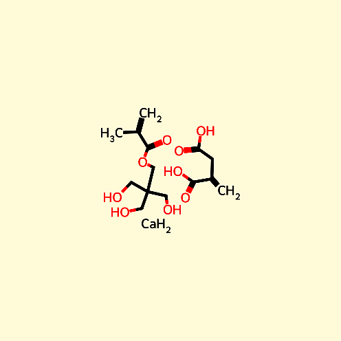 C=C(C)C(=O)OCC(CO)(CO)CO.C=C(CC(=O)O)C(=O)O.[CaH2]